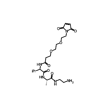 CC(C)C(NC(=O)CCOCCOCCN1C(=O)C=CC1=O)C(=O)N[C@@H](C)C(=O)NCCN